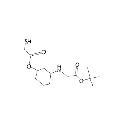 CC(C)(C)OC(=O)CNC1CCCC(OC(=O)CS)C1